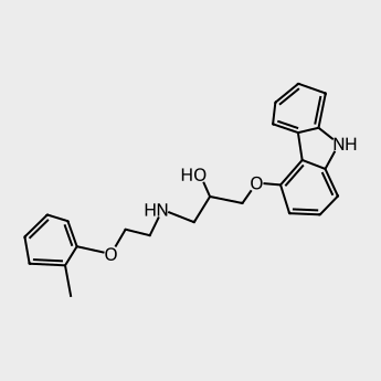 Cc1ccccc1OCCNCC(O)COc1cccc2[nH]c3ccccc3c12